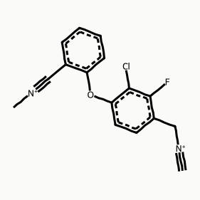 C#[N+]Cc1ccc(Oc2ccccc2C#[N+]C)c(Cl)c1F